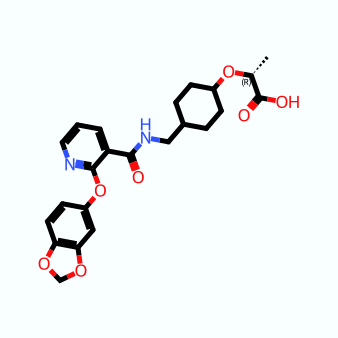 C[C@@H](OC1CCC(CNC(=O)c2cccnc2Oc2ccc3c(c2)OCO3)CC1)C(=O)O